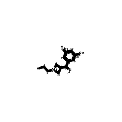 CCCN1CC(C(F)c2cc(F)cc(F)c2)C1